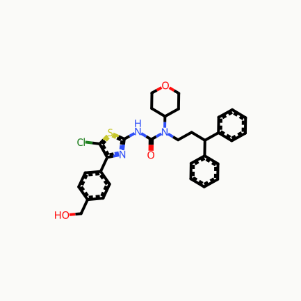 O=C(Nc1nc(-c2ccc(CO)cc2)c(Cl)s1)N(CCC(c1ccccc1)c1ccccc1)C1CCOCC1